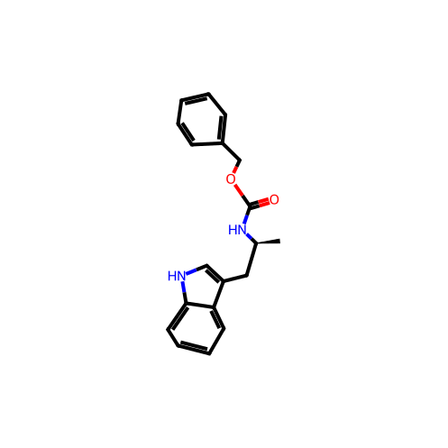 C[C@@H](Cc1c[nH]c2ccccc12)NC(=O)OCc1ccccc1